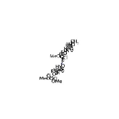 C=CC(=O)N[C@H]1CCOC[C@H]1Nc1ncc2c(F)c(-c3c(Cl)c(OC)cc(OC/C=C/C(=O)N[C@H]4COC[C@H]4Nc4ncc5cc(-c6c(Cl)c(OC)cc(OC)c6Cl)cc(F)c5n4)c3Cl)ccc2n1